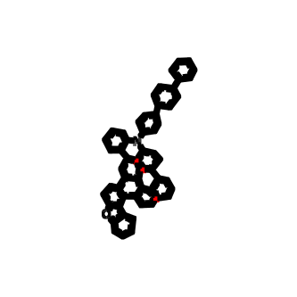 c1ccc(-c2ccc(-c3ccc(N(c4ccc(-c5ccccc5)cc4)c4ccccc4-c4ccc5c6ccccc6c6c(ccc7oc8ccccc8c76)c5c4)cc3)cc2)cc1